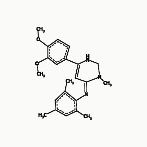 COc1ccc(C2=CC(=Nc3c(C)cc(C)cc3C)N(C)CN2)cc1OC